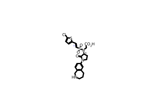 O=C(O)CN([C@H]1CCN(c2ccc3c(c2)CCCNC3)C1=O)S(=O)(=O)/C=C/c1ccc(Cl)s1